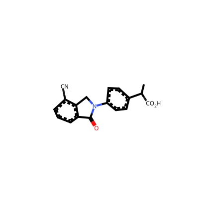 CC(C(=O)O)c1ccc(N2Cc3c(C#N)cccc3C2=O)cc1